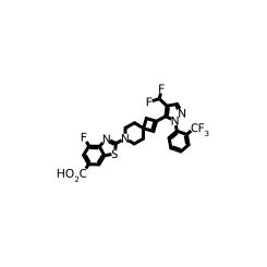 O=C(O)c1cc(F)c2nc(N3CCC4(C=C(c5c(C(F)F)cnn5-c5ccccc5C(F)(F)F)C4)CC3)sc2c1